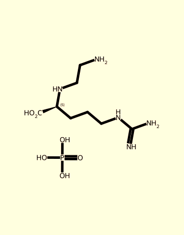 N=C(N)NCCC[C@H](NCCN)C(=O)O.O=P(O)(O)O